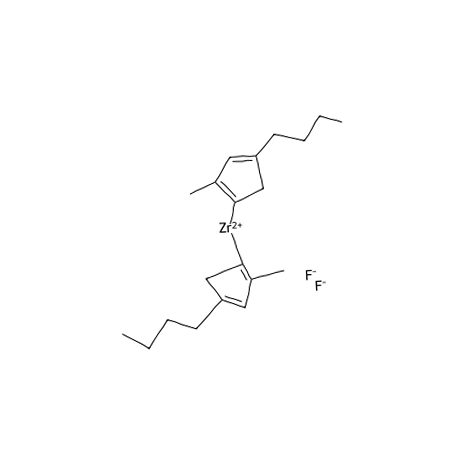 CCCCC1=CC(C)=[C]([Zr+2][C]2=C(C)C=C(CCCC)C2)C1.[F-].[F-]